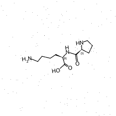 NCCCC[C@@H](NC(=O)[C@@H]1CCCN1)C(=O)O